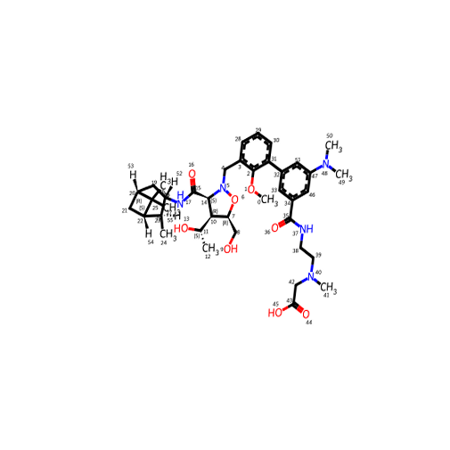 COc1c(CN2O[C@@H](CO)[C@@H]([C@H](C)O)[C@H]2C(=O)N[C@H]2C[C@H]3C[C@@H]([C@@H]2C)C3(C)C)cccc1-c1cc(C(=O)NCCN(C)CC(=O)O)cc(N(C)C)c1